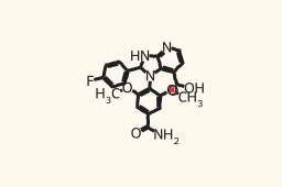 COc1cc(C(N)=O)cc(OC)c1N1c2c(C(=O)O)ccnc2NC1c1ccc(F)cc1